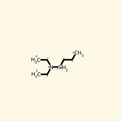 CCC[SiH2]N(CC)CC